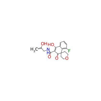 C=C(O)CNC(=O)C1=C(O)c2cccc(F)c2C2(CCOCC2)C1=O